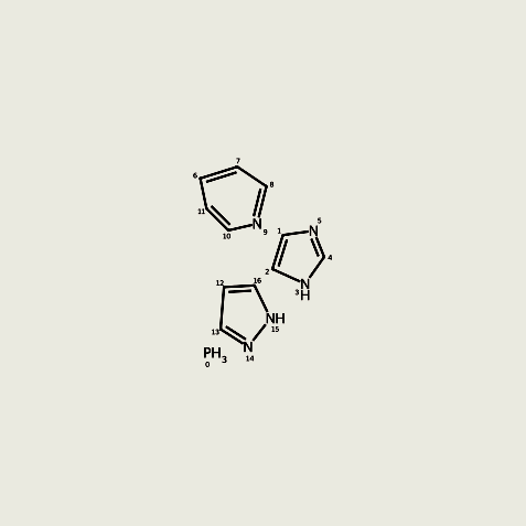 P.c1c[nH]cn1.c1ccncc1.c1cn[nH]c1